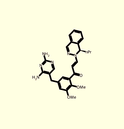 CCC[C@@H]1c2ccccc2C=NN1/C=C/C(=O)c1cc(Cc2cnc(N)nc2N)cc(OC)c1OC